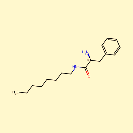 CCCCCCCCNC(=O)[C@@H](N)Cc1ccccc1